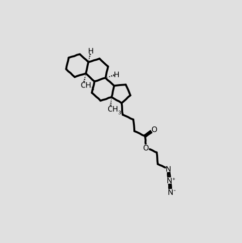 C[C@]12CCC3[C@@H](CC[C@@H]4CCCC[C@]34C)C1CCC2CCCC(=O)OCCN=[N+]=[N-]